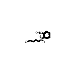 O=Cc1ccccc1S(=O)(=O)CCCCCl